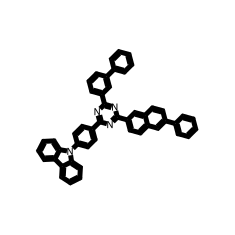 c1ccc(-c2cccc(-c3nc(-c4ccc(-n5c6ccccc6c6ccccc65)cc4)nc(-c4ccc5cc(-c6ccccc6)ccc5c4)n3)c2)cc1